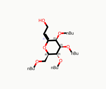 CCCCOC[C@H]1O/C(=C/CO)[C@@H](OCCCC)[C@@H](OCCCC)[C@@H]1OCCCC